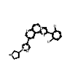 Clc1cccc(Cl)c1-c1cn2ccc3ncc(-c4cnn(C5CCNC5)c4)cc3c2n1